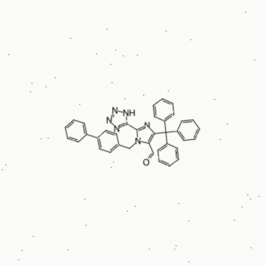 O=Cc1c(C(c2ccccc2)(c2ccccc2)c2ccccc2)nc(-c2nnn[nH]2)n1Cc1ccc(-c2ccccc2)cc1